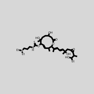 CCC(O)C(C)C1OC1CC(C)(O)/C=C/C=C(\C)C1OC(=O)CC(O)CCC(C)(O)C(OC(=S)NCCCN(CC)CC)/C=C/C1C